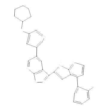 Fc1ccccc1-c1ccnc2[nH]c(-c3n[nH]c4ncc(-c5cncc(OC6CCCCC6)c5)cc34)cc12